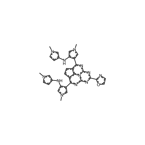 Cn1ccc(Nc2cn(C)cc2-c2nc3nc(-c4ncco4)nc4nc(-c5cn(C)cc5Nc5ccn(C)c5)c5ccc2c5n34)c1